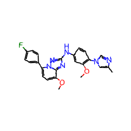 COc1cc(Nc2nc3c(OC)ccc(-c4ccc(F)cc4)n3n2)ccc1-n1cnc(C)c1